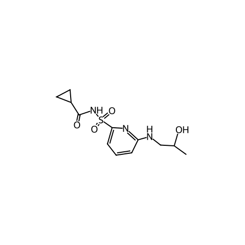 CC(O)CNc1cccc(S(=O)(=O)NC(=O)C2CC2)n1